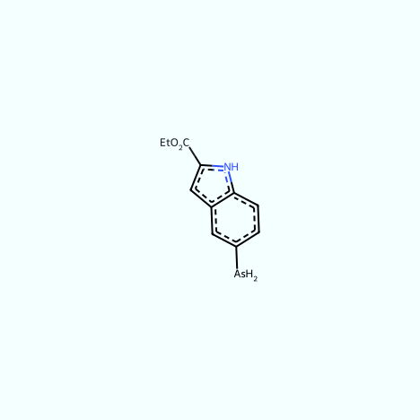 CCOC(=O)c1cc2cc([AsH2])ccc2[nH]1